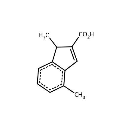 Cc1cccc2c1C=C(C(=O)O)C2C